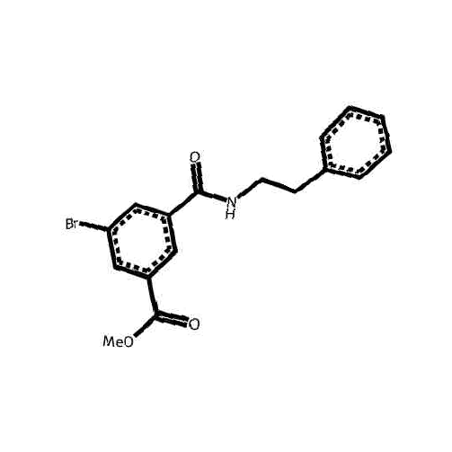 COC(=O)c1cc(Br)cc(C(=O)NCCc2ccccc2)c1